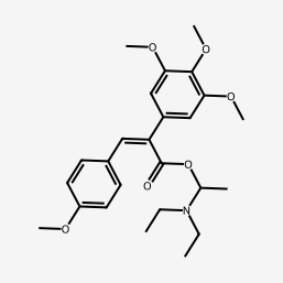 CCN(CC)C(C)OC(=O)C(=Cc1ccc(OC)cc1)c1cc(OC)c(OC)c(OC)c1